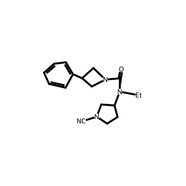 CCN(C(=O)N1CC(c2ccccc2)C1)C1CCN(C#N)C1